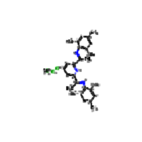 CCCCc1cc(C)cc(CCCC)c1N=C(C)c1cc(Cl)cc(C(C)=Nc2c(CCCC)cc(C)cc2CCCC)n1.[Cl-].[Cl-].[Co+2]